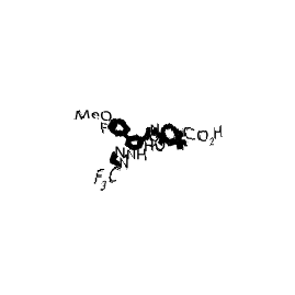 COc1ccc(-c2cc(Nc3nccc(C(F)(F)F)n3)cc(-c3cnc(C4(O)CCC(C(=O)O)C(C)(C)C4)s3)c2)cc1F